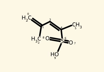 C=C(C)C=C(C)S(=O)(=O)O